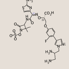 C[n+]1cc(-c2ccc(OC[C@H](O/N=C(\C(=O)NC3C(=O)N(OS(=O)(=O)[O-])C3(C)C)c3csc(N)n3)C(=O)O)cc2F)cn1CC(N)CN